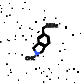 CC(=O)NCc1ccc2c(c1)CN(C=O)C2